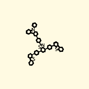 c1ccc(-n2c3ccccc3c3cc(-c4ccc(-c5nc6c(-c7ccc(-c8cccc9c8sc8ccccc89)cc7)ccc(-c7ccc(-c8cccc9c8sc8ccccc89)cc7)c6s5)cc4)ccc32)cc1